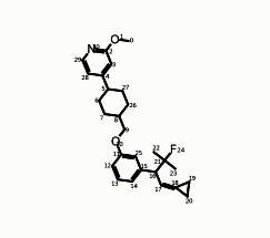 COc1cc(C2CCC(COc3cccc(C(C=C4CC4)C(C)(C)F)c3)CC2)ccn1